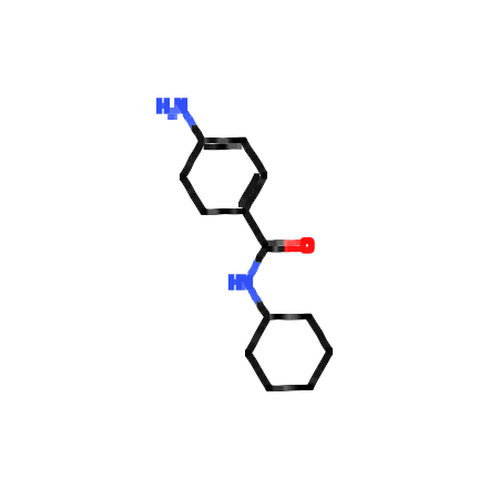 NC1=CC=C(C(=O)NC2CCCCC2)CC1